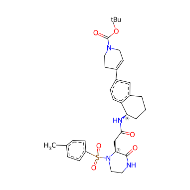 Cc1ccc(S(=O)(=O)N2CCNC(=O)[C@@H]2CC(=O)N[C@@H]2CCCc3cc(C4=CCN(C(=O)OC(C)(C)C)CC4)ccc32)cc1